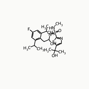 CNS(=O)(=NC(O)Cc1c(C(C)C)cc(F)cc1C(C)C)c1ncc(C(C)(C)O)s1